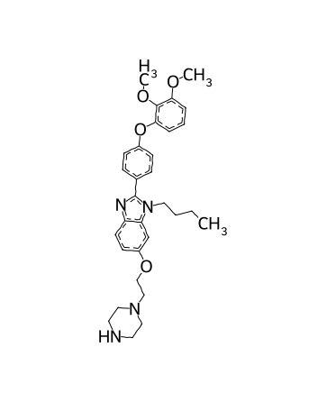 CCCCn1c(-c2ccc(Oc3cccc(OC)c3OC)cc2)nc2ccc(OCCN3CCNCC3)cc21